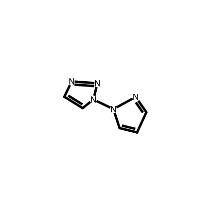 c1cnn(-n2ccnn2)c1